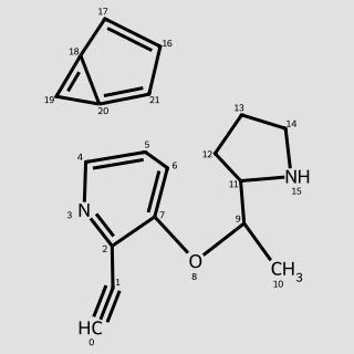 C#Cc1ncccc1OC(C)C1CCCN1.c1cc2cc-2c1